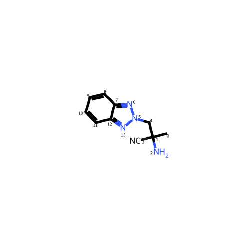 CC(N)(C#N)Cn1nc2ccccc2n1